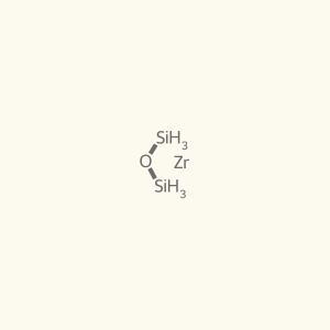 [SiH3]O[SiH3].[Zr]